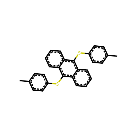 Cc1ccc(Sc2c3ccccc3c(Sc3ccc(C)cc3)c3ccccc23)cc1